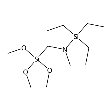 CC[Si](CC)(CC)N(C)C[Si](OC)(OC)OC